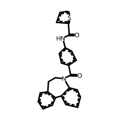 O=C(Nc1ccc(C(=O)N2CCc3ccccc3-c3ccccc32)cc1)c1cccs1